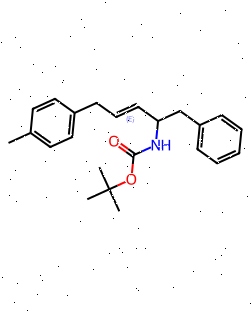 Cc1ccc(C/C=C/C(Cc2ccccc2)NC(=O)OC(C)(C)C)cc1